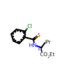 CCOC(=O)[C@@H](NC(=S)c1ccccc1Cl)C(C)C